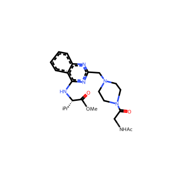 COC(=O)[C@@H](Nc1nc(CN2CCN(C(=O)CNC(C)=O)CC2)nc2ccccc12)C(C)C